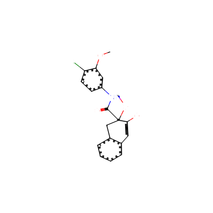 COc1cc(NC(=O)C2(OC)Cc3ccccc3C=C2O)ccc1Cl